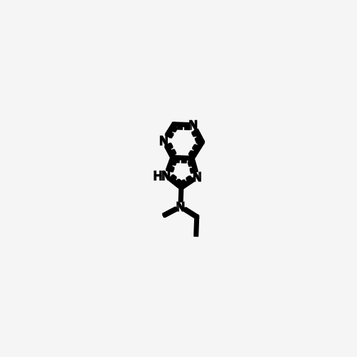 CCN(C)c1nc2cncnc2[nH]1